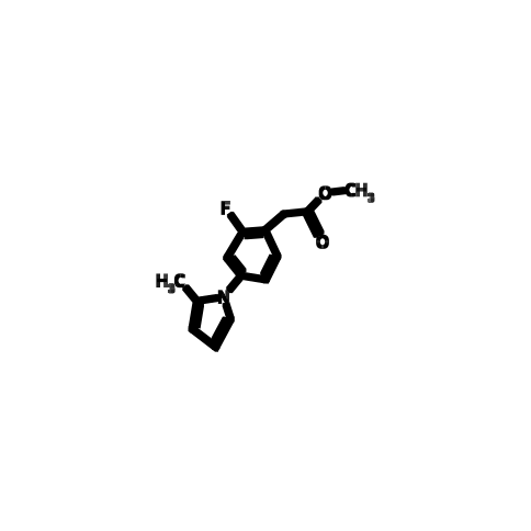 COC(=O)Cc1ccc(-n2cccc2C)cc1F